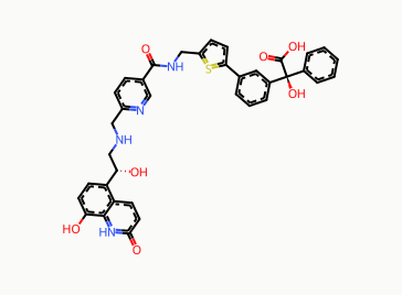 O=C(NCc1ccc(-c2cccc([C@](O)(C(=O)O)c3ccccc3)c2)s1)c1ccc(CNC[C@H](O)c2ccc(O)c3[nH]c(=O)ccc23)nc1